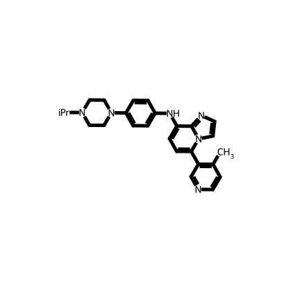 Cc1ccncc1-c1ccc(Nc2ccc(N3CCN(C(C)C)CC3)cc2)c2nccn12